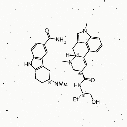 CC[C@@H](CO)NC(=O)[C@@H]1C=C2c3cccc4c3c(cn4C)C[C@H]2N(C)C1.CN[C@@H]1CCc2[nH]c3ccc(C(N)=O)cc3c2C1